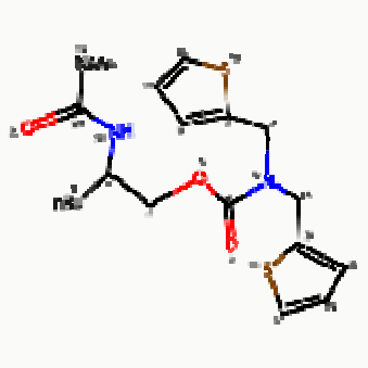 CCCCC(COC(=O)N(Cc1cccs1)Cc1cccs1)NC(=O)NC